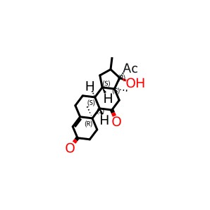 CC(=O)[C@@]1(O)C(C)C[C@H]2[C@@H]3CCC4=CC(=O)CC[C@]4(C)[C@H]3C(=O)C[C@@]21C